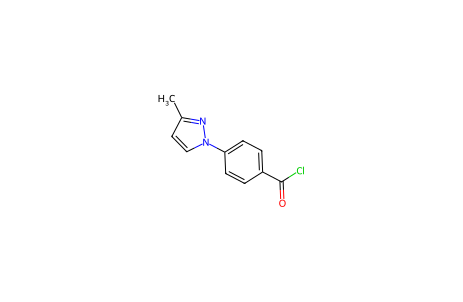 Cc1ccn(-c2ccc(C(=O)Cl)cc2)n1